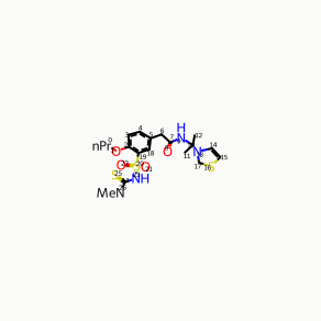 CCCOc1ccc(CC(=O)NC(C)(C)N2C=CSC2)cc1S(=O)(=O)NC(=S)NC